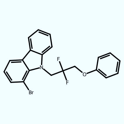 FC(F)(COc1ccccc1)Cn1c2ccccc2c2cccc(Br)c21